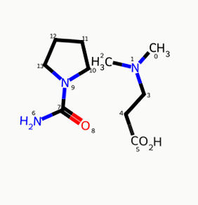 CN(C)CCC(=O)O.NC(=O)N1CCCC1